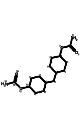 NC(=O)OC1CCC(CC2CCC(OC(N)=O)CC2)CC1